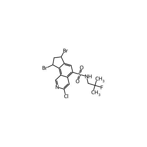 CC(C)(F)CNS(=O)(=O)c1cc2c(c3cnc(Cl)cc13)C(Br)CC2Br